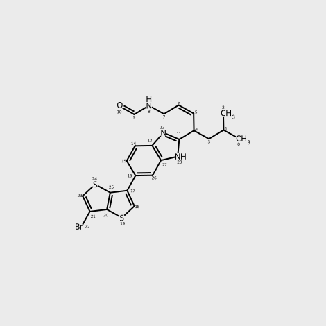 CC(C)CC(/C=C\CNC=O)c1nc2ccc(-c3csc4c(Br)csc34)cc2[nH]1